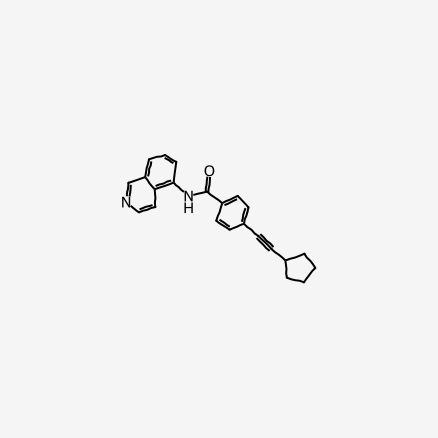 O=C(Nc1cccc2cnccc12)c1ccc(C#CC2CCCC2)cc1